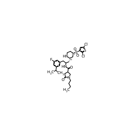 CCCCN1CC(C(=O)NC(Cc2cc(F)cc(C(C)C)c2)C[C@H]2CN(S(=O)(=O)c3cc(Cl)sc3Cl)CCN2)CC1=O